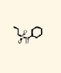 CCCS(=O)(=O)NC1CC[CH]CC1